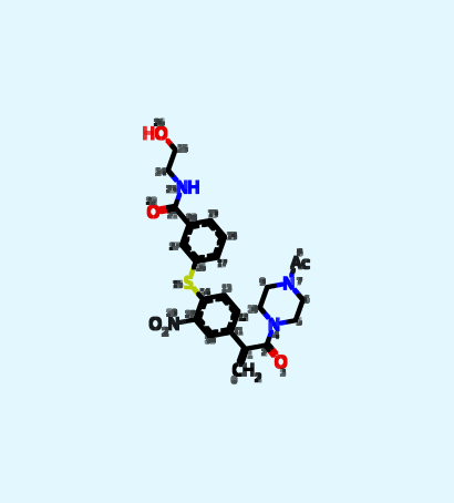 C=C(C(=O)N1CCN(C(C)=O)CC1)c1ccc(Sc2cccc(C(=O)NCCO)c2)c([N+](=O)[O-])c1